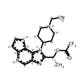 C[C@@H](OC(=O)C(F)(F)F)c1nc2cnc3ccsc3c2n1C1CCN(CC#N)CC1